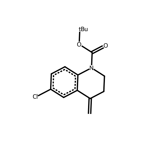 C=C1CCN(C(=O)OC(C)(C)C)c2ccc(Cl)cc21